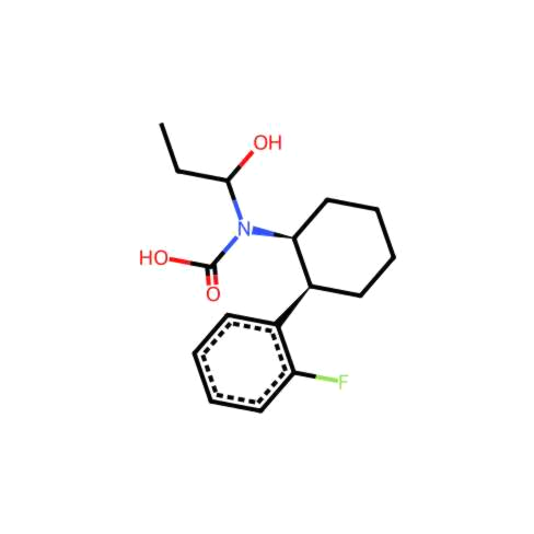 CCC(O)N(C(=O)O)[C@H]1CCCC[C@H]1c1ccccc1F